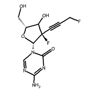 Nc1ncn([C@@H]2O[C@H](CO)C(O)[C@]2(F)C#CCF)c(=O)n1